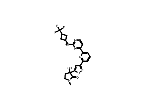 CN1CCC(O)(c2cc(-c3cccc(-c4ccnc(NC5CC(C(F)(F)F)C5)n4)n3)no2)C1=O